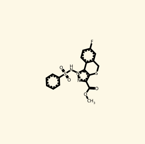 COC(=O)c1nn(NS(=O)(=O)c2ccccc2)c2c1SCc1cc(F)ccc1-2